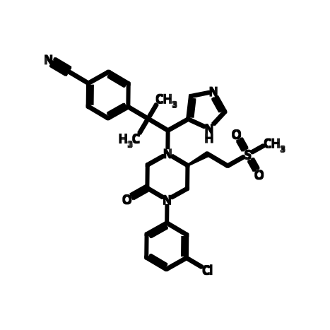 CC(C)(c1ccc(C#N)cc1)C(c1cnc[nH]1)N1CC(=O)N(c2cccc(Cl)c2)C[C@@H]1CCS(C)(=O)=O